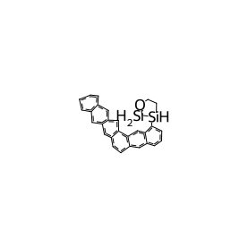 c1ccc2cc3cc4c(ccc5cc6cccc([SiH]7CCCO[SiH2]7)c6cc54)cc3cc2c1